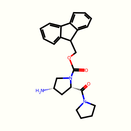 N[C@H]1C[C@@H](C(=O)N2CCCC2)N(C(=O)OCC2c3ccccc3-c3ccccc32)C1